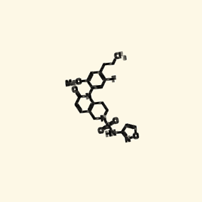 COc1cc(CCC(F)(F)F)c(F)cc1-n1c2c(ccc1=O)CN(S(=O)(=O)Nc1ccon1)CC2